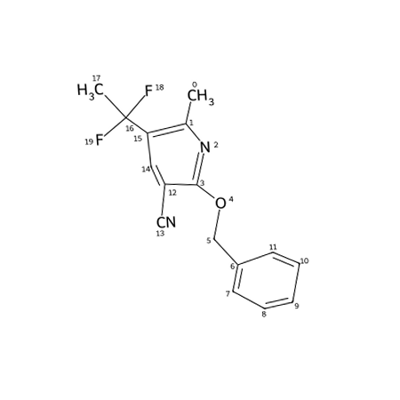 Cc1nc(OCc2ccccc2)c(C#N)cc1C(C)(F)F